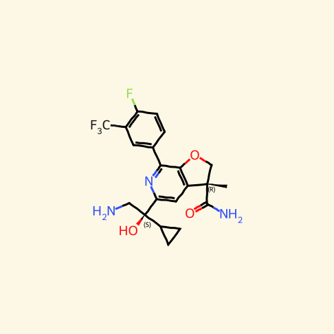 C[C@]1(C(N)=O)COc2c1cc([C@@](O)(CN)C1CC1)nc2-c1ccc(F)c(C(F)(F)F)c1